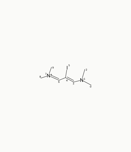 CN(C)/C=C(\I)C=[N+](C)C